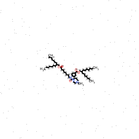 CCCCCCCC(CCCCCCC)COC(=O)CCCCCCCN(C(=O)N1CCCN(C)CC1)C1CCC(C(=O)OCC(CCCCCCC)CCCCCCC)CC1